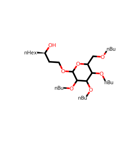 CCCCCC[C@@H](O)CCOC1OC(COCCCC)C(OCCCC)C(OCCCC)C1OCCCC